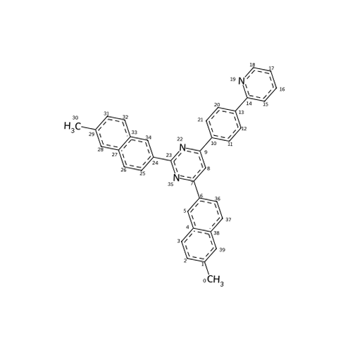 Cc1ccc2cc(-c3cc(-c4ccc(-c5ccccn5)cc4)nc(-c4ccc5cc(C)ccc5c4)n3)ccc2c1